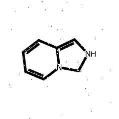 [C]1NC=C2C=CC=CN12